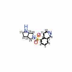 O=S(=O)(c1cccc2cnccc12)N1CC2CCNC2C1